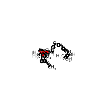 COCOc1cc(-c2ncc3c(N4CC5CCC(C4)N5C(=O)OC(C)(C)C)nc(OCC4(CN5CCC(C(=O)N6CCN(Cc7ccc8c(c7)CN(C(=O)c7cc(C(C)C)c(O)cc7O)C8)CC6)CC5)CC4)nc3c2F)c2c(C#C[Si](C(C)C)(C(C)C)C(C)C)cccc2c1